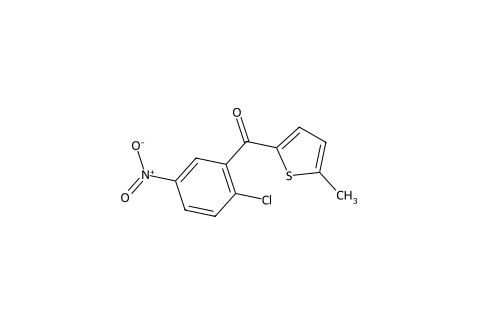 Cc1ccc(C(=O)c2cc([N+](=O)[O-])ccc2Cl)s1